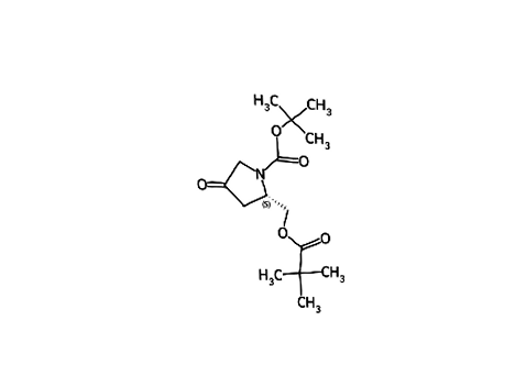 CC(C)(C)OC(=O)N1CC(=O)C[C@H]1COC(=O)C(C)(C)C